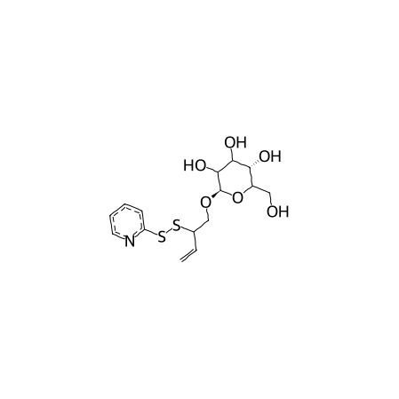 C=CC(CO[C@@H]1OC(CO)[C@@H](O)C(O)C1O)SSc1ccccn1